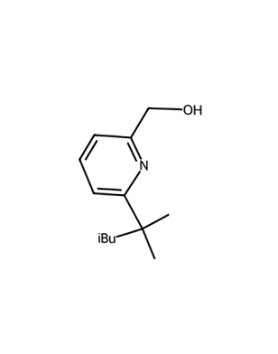 CCC(C)C(C)(C)c1cccc(CO)n1